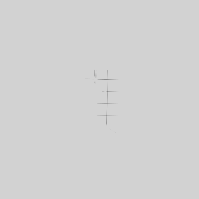 COC(F)(F)C(F)(F)C(F)(F)C(F)(F)S(=O)(=O)O